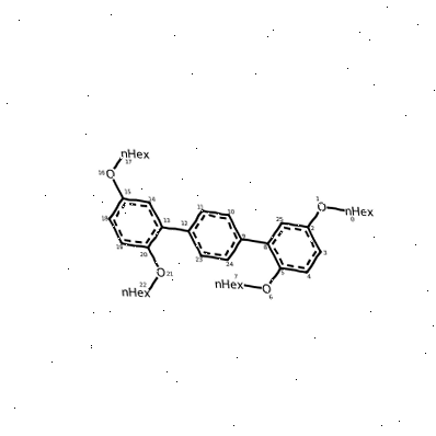 CCCCCCOc1ccc(OCCCCCC)c(-c2ccc(-c3cc(OCCCCCC)ccc3OCCCCCC)cc2)c1